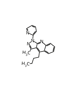 CCCCc1c2ccccc2nc2c1c(C)nn2-c1ccccn1